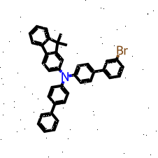 CC1(C)c2ccccc2-c2ccc(N(c3ccc(-c4ccccc4)cc3)c3ccc(-c4cccc(Br)c4)cc3)cc21